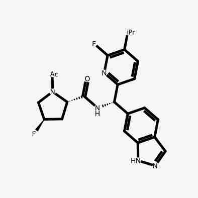 CC(=O)N1C[C@H](F)C[C@H]1C(=O)N[C@@H](c1ccc2cn[nH]c2c1)c1ccc(C(C)C)c(F)n1